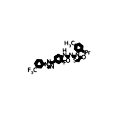 Cc1ccc(C(C)C)c(N2C(=O)CSC2=NC(=O)Nc2ccc(-c3ncn(-c4cccc(C(F)(F)F)c4)n3)cc2F)c1